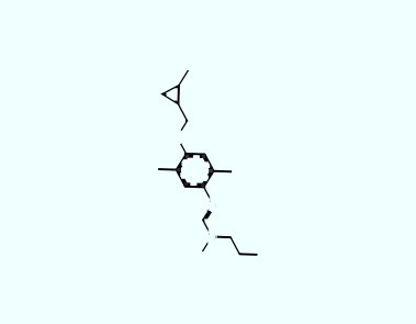 CCCN(C)/C=N/c1cc(C)c(OCC2CC2C)cc1C